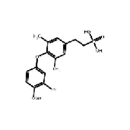 COc1ccc(Oc2c(C)cc(CCP(=O)(O)O)cc2C)cc1C(C)C